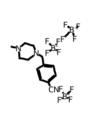 CN1CCN(Cc2ccc(C#N)cc2)CC1.F[B-](F)(F)F.F[B-](F)(F)F.F[B-](F)(F)F